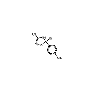 CCCCCCC(CC)(NC(N)=O)c1ccc(C)cc1